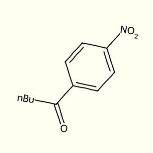 CCCCC(=O)c1ccc([N+](=O)[O-])cc1